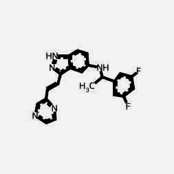 CC(Nc1ccc2[nH]nc(C=Cc3cnccn3)c2c1)c1cc(F)cc(F)c1